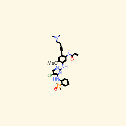 C=CC(=O)Nc1cc(Nc2ncc(Cl)c(Nc3ccccc3P(C)(C)=O)n2)c(OC)cc1C#CCCN(C)C